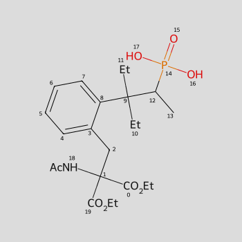 CCOC(=O)C(Cc1ccccc1C(CC)(CC)C(C)P(=O)(O)O)(NC(C)=O)C(=O)OCC